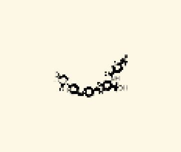 CC(C)(O)c1cc2nc(C3CCN(Cc4ccc(N5CCC(=O)NC5=O)nc4)CC3)sc2cc1NC(=O)c1ccc(C(F)(F)F)nc1